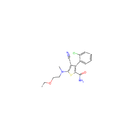 CCOCCN(C)c1sc(C(N)=O)c(-c2ccccc2Cl)c1C#N